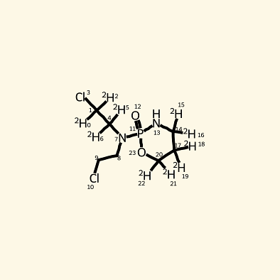 [2H]C([2H])(Cl)C([2H])([2H])N(CCCl)P1(=O)NC([2H])([2H])C([2H])([2H])C([2H])([2H])O1